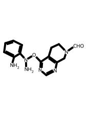 Nc1ccccc1N(N)Oc1ncnc2c1CCN(C=O)C2